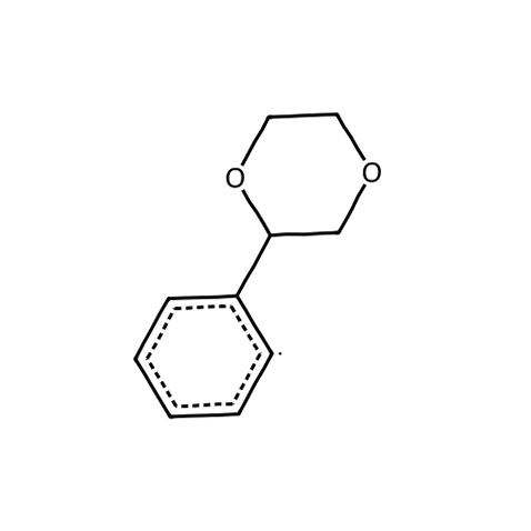 [c]1ccccc1C1COCCO1